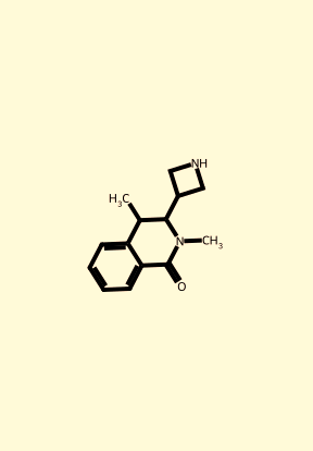 CC1c2ccccc2C(=O)N(C)C1C1CNC1